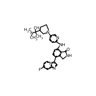 CN(C)C(C)(C)C1CCCN(c2ccc(Nc3ccc(-c4cnc5cc(F)ccn45)c4c3C(=O)NC4)nc2)C1